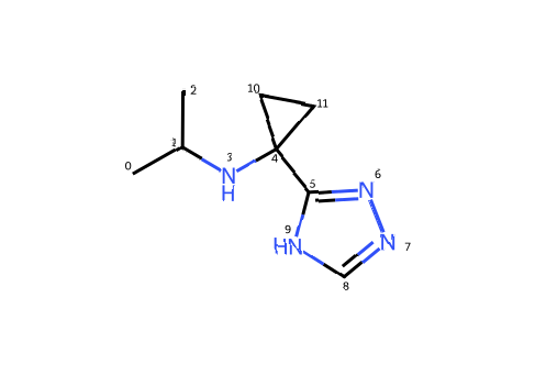 CC(C)NC1(c2nnc[nH]2)CC1